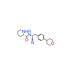 C[C@@H]1CC[C@H](C)N[C@@H]1C(=O)N[C@H](C#N)Cc1ccc(C2CCOCC2)cc1